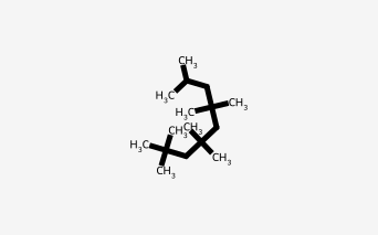 CC(C)CC(C)(C)CC(C)(C)CC(C)(C)C